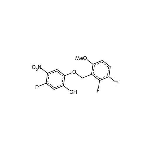 COc1ccc(F)c(F)c1COc1cc([N+](=O)[O-])c(F)cc1O